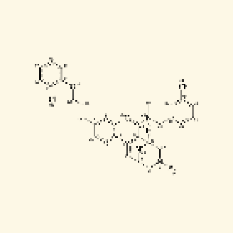 CC(=O)N1CC2CC(c3ccc(CCCOc4ccccc4Cl)cc3)=C(C(=O)N(C)Cc3cccc(C(F)(F)F)c3)[C@@H](C1)N2